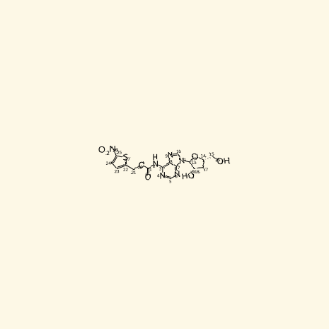 O=C(Nc1ncnc2c1ncn2C1O[C@H](CO)C[C@@H]1O)OCc1ccc([N+](=O)[O-])s1